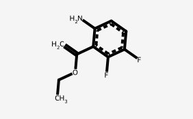 C=C(OCC)c1c(N)ccc(F)c1F